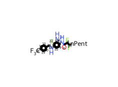 CCCCC[C@H](F)[C@H](F)C(=O)Nc1ccc(NCc2ccc(C(F)(F)F)cc2)c(F)c1N